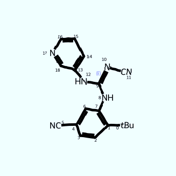 CC(C)(C)c1ccc(C#N)cc1N/C(=N\C#N)Nc1cccnc1